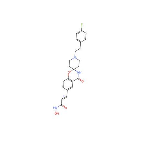 O=C(/C=C/c1ccc2c(c1)C(=O)NC1(CCN(CCc3ccc(F)cc3)CC1)O2)NO